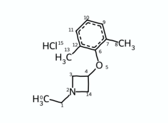 CCN1CC(Oc2c(C)cccc2C)C1.Cl